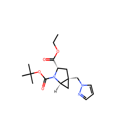 CCOC(=O)[C@@H]1C[C@@]2(Cn3cccn3)C[C@H]2N1C(=O)OC(C)(C)C